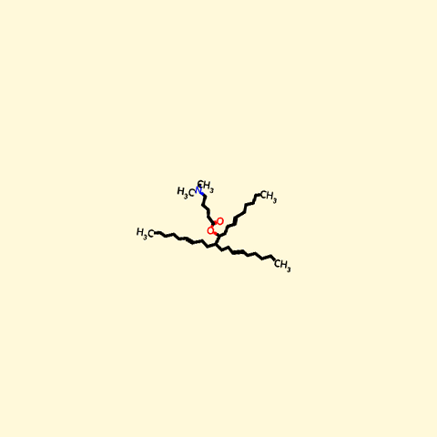 CCCCCC=CCCC(CCC=CCCCCC)C(CCC=CCCCCC)OC(=O)CCCCN(C)C